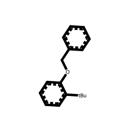 CC(C)(C)c1ccc[c]c1OCc1ccccc1